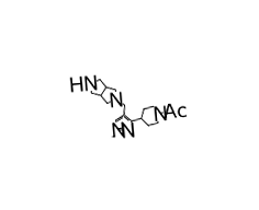 CC(=O)N1CCC(c2nn(C)cc2CN2CC3CNCC3C2)CC1